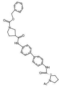 CC(=O)N1CCC[C@H]1C(=O)Nc1ccc(-c2ccc(NC(=O)C3CCN(C(=O)OCc4ccccc4)C3)cc2)cc1